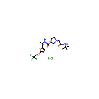 C[C@@H](NC(=O)[C@H]1CCN(CC(=O)NC(C)(C)C)C1)c1ccc(OCC(F)(F)F)s1.Cl